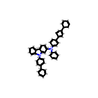 C1=CCC(c2ccc(-c3ccc(N(c4ccccc4)c4ccc5c6ccccc6n(-c6ccc(-c7ccccc7)cc6)c5c4)cc3)cc2)C=C1